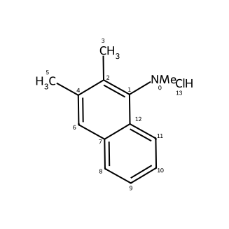 CNc1c(C)c(C)cc2ccccc12.Cl